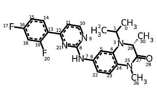 CC(C)N1c2cc(Nc3nccc(-c4ccc(F)cc4F)n3)ccc2N(C)C(=O)[C@H]1C